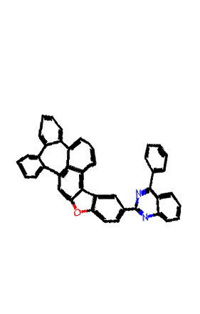 c1ccc(-c2nc(-c3ccc4oc5cc6c7c(cccc7c5c4c3)-c3ccccc3-c3ccccc3-6)nc3ccccc23)cc1